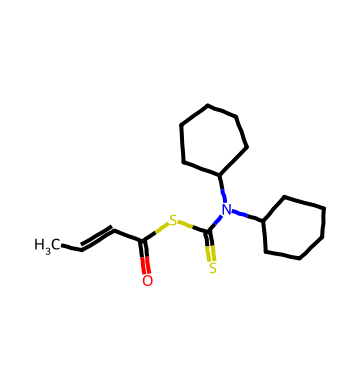 C/C=C/C(=O)SC(=S)N(C1CCCCC1)C1CCCCC1